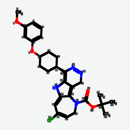 COc1cccc(O[C@H]2CC[C@H](C3=c4[nH]c5c(c4CN=N3)N(C(=O)OC(C)(C)C)CC=C(Cl)C=5)CC2)c1